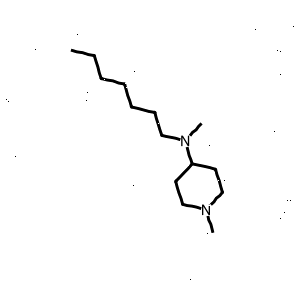 CCCCCCCN(C)C1CCN(C)CC1